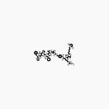 CO[C@H]([C@@H](C)C(=O)N[C@@H](Cc1ccccc1)c1nccs1)[C@@H]1CCCN1C(=O)C[C@@H](OC)[C@H](C1CCCCC1)N(C)C(=O)[C@@H](NC(=O)C(C)(C)NC(=O)OCc1ccc(NC(=O)C(CCCNC(N)=O)NC(=O)[C@@H](NC(=O)CCCCCN2C(=O)C=CC2=O)C(C)C)cc1)C(C)C